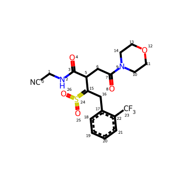 N#CCNC(=O)C(CC(=O)N1CCOCC1)C(Cc1ccccc1C(F)(F)F)=S(=O)=O